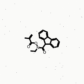 C=C(C)C(=O)ON(CC)C(=O)C1c2ccccc2-c2ccccc21